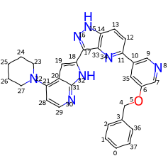 c1ccc(COc2cncc(-c3ccc4[nH]nc(-c5cc6c(N7CCCCC7)ccnc6[nH]5)c4n3)c2)cc1